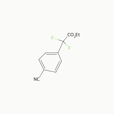 CCOC(=O)C(F)(F)c1ccc(C#N)cc1